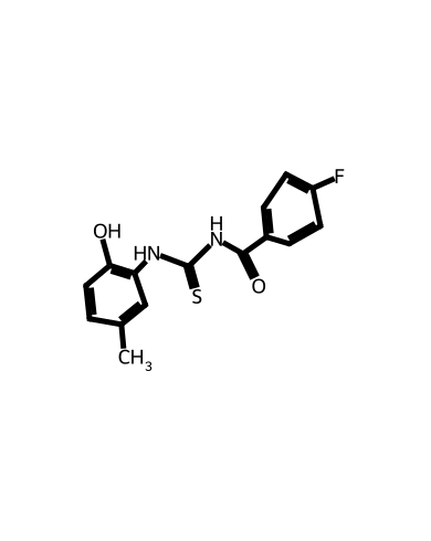 Cc1ccc(O)c(NC(=S)NC(=O)c2ccc(F)cc2)c1